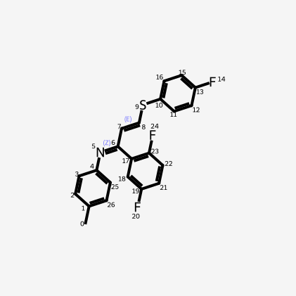 Cc1ccc(/N=C(/C=C/Sc2ccc(F)cc2)c2cc(F)ccc2F)cc1